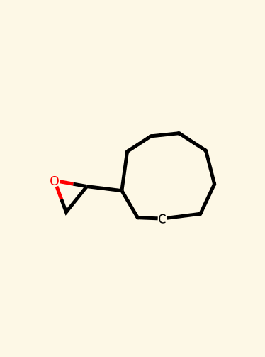 C1CCCCC(C2CO2)CCC1